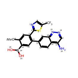 COc1cc(-c2ncc(C(F)(F)F)s2)c(-c2ccc3c(N)cnnc3c2)cc1B(O)O